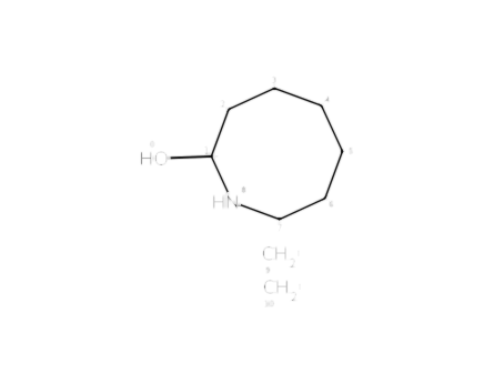 O[C]1CCCCCCN1.[CH2].[CH2]